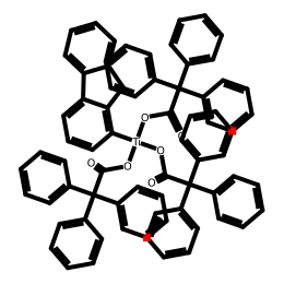 O=C([O][Ti]([O]C(=O)C(c1ccccc1)(c1ccccc1)c1ccccc1)([O]C(=O)C(c1ccccc1)(c1ccccc1)c1ccccc1)[c]1cccc2c1Cc1ccccc1-2)C(c1ccccc1)(c1ccccc1)c1ccccc1